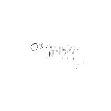 CCON=C(C(=O)COS(=O)(=O)c1ccc(C)cc1)C(=O)NC1C(=O)N2C(C(=O)OCOC(=O)C(C)(C)C)=C(COC)CS[C@@H]12